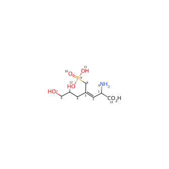 NC(/C=C(/CCCO)CP(=O)(O)O)C(=O)O